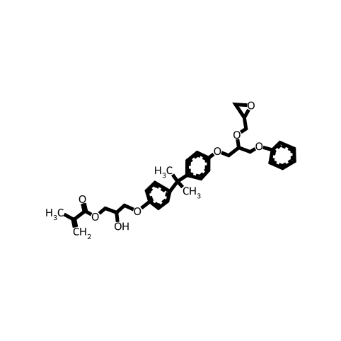 C=C(C)C(=O)OCC(O)COc1ccc(C(C)(C)c2ccc(OCC(COc3ccccc3)OCC3CO3)cc2)cc1